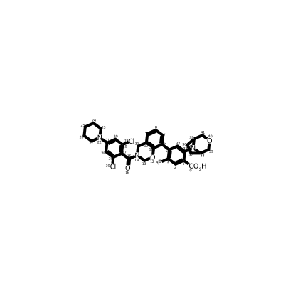 O=C(O)c1cc(F)c(-c2cccc3c2OCN(C(=O)c2c(Cl)cc(N4CCCCC4)cc2Cl)C3)cc1N1C2CCC1COC2